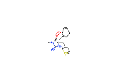 CN1C(=N)NC(Cc2ccsc2)(c2ccccc2)C1=O